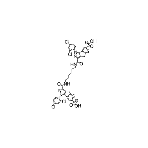 O=C(NCCCCCCNC(=O)c1nn(-c2ccc(Cl)cc2Cl)c2c1Cc1sc(S(=O)(=O)O)cc1-2)c1nn(-c2ccc(Cl)cc2Cl)c2c1Cc1sc(S(=O)(=O)O)cc1-2